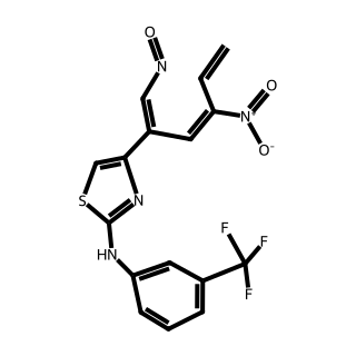 C=C/C(=C\C(=C/N=O)c1csc(Nc2cccc(C(F)(F)F)c2)n1)[N+](=O)[O-]